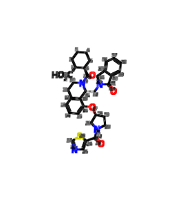 O=C(O)[C@H]1CCCC[C@H]1C(=O)N1CCc2cccc(O[C@H]3CCN(C(=O)c4cncs4)C3)c2[C@H]1CN1Cc2ccccc2C1=O